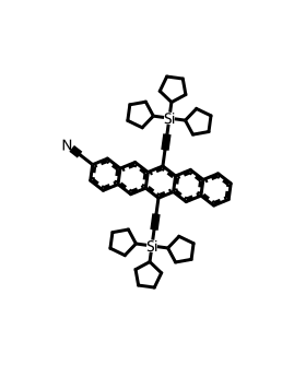 N#Cc1ccc2cc3c(C#C[Si](C4CCCC4)(C4CCCC4)C4CCCC4)c4cc5ccccc5cc4c(C#C[Si](C4CCCC4)(C4CCCC4)C4CCCC4)c3cc2c1